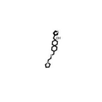 OC1(Cc2ccsc2)CCC2(CCC(CSCCN3CCCC3)CC2)CC1